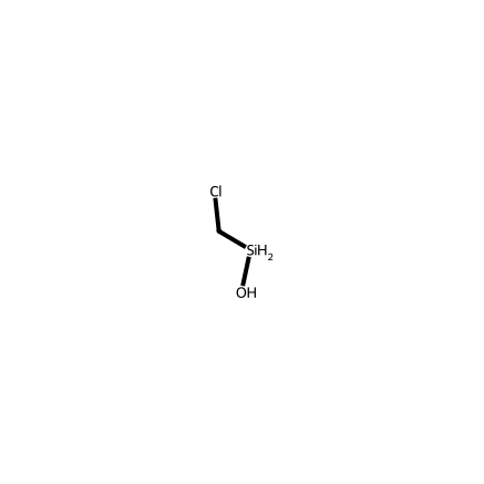 O[SiH2]CCl